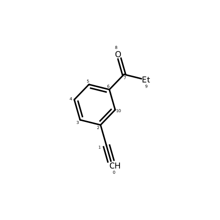 C#Cc1cccc(C(=O)CC)c1